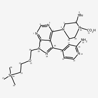 CC(C)(C)C1CN(c2ncnc3c2c(-c2ccnc(N)c2)nn3COCC[Si](C)(C)C)CCN1C(=O)O